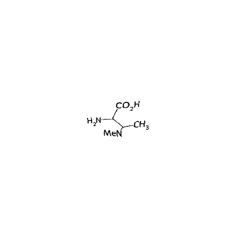 CNC(C)C(N)C(=O)O